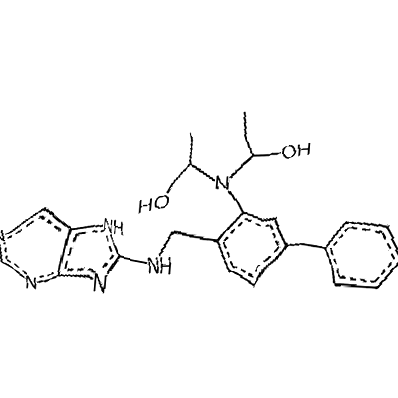 CC(O)N(c1cc(-c2ccccc2)ccc1CNc1nc2ncncc2[nH]1)C(C)O